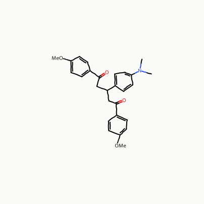 COc1ccc(C(=O)CC(CC(=O)c2ccc(OC)cc2)c2ccc(N(C)C)cc2)cc1